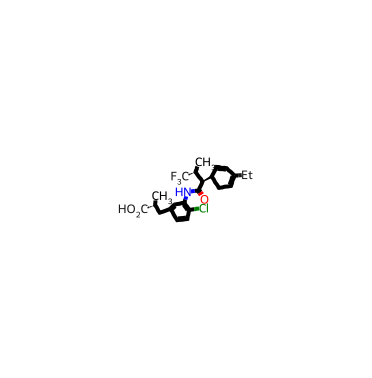 CCC1=CCC([C@@H](C(=O)Nc2cc(C[C@@H](C)C(=O)O)ccc2Cl)[C@@H](C)C(F)(F)F)C=C1